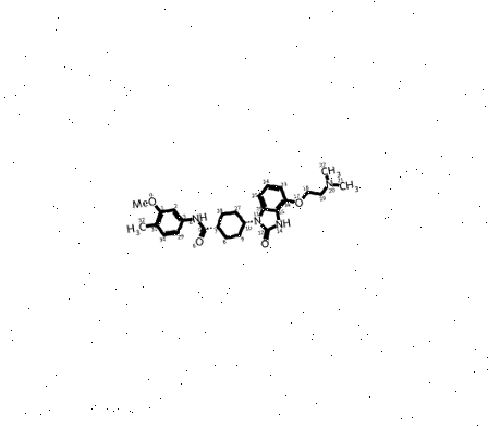 COc1cc(NC(=O)[C@H]2CC[C@@H](n3c(=O)[nH]c4c(OCCN(C)C)cccc43)CC2)ccc1C